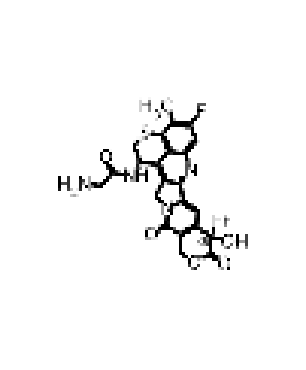 CC[C@@]1(O)C(=O)OCc2c1cc1n(c2=O)Cc2c-1nc1cc(F)c(C)c3c1c2[C@H](NC(=O)CN)CS3